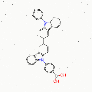 OB(O)c1ccc(-n2c3c(c4ccccc42)CC(C2C=c4c5c(n(-c6ccccc6)c4=CC2)CCC=C5)C=C3)cc1